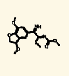 COC(=O)N=C(SC)C(=N)c1cc(OC)c2c(c1)C(OC)CO2